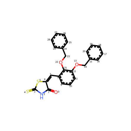 O=C1NC(=S)S/C1=C/c1cccc(OCc2ccccc2)c1OCc1ccccc1